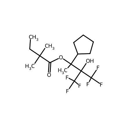 CCC(C)(C)C(=O)OC(C)(C1CCCC1)C(O)(C(F)(F)F)C(F)(F)F